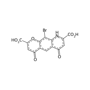 O=C(O)c1cc(=O)c2cc3c(=O)cc(C(=O)O)oc3c(Br)c2[nH]1